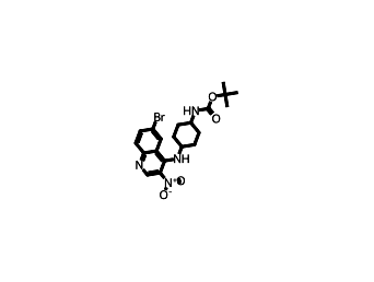 CC(C)(C)OC(=O)NC1CCC(Nc2c([N+](=O)[O-])cnc3ccc(Br)cc23)CC1